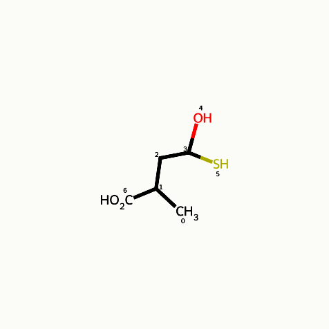 CC(CC(O)S)C(=O)O